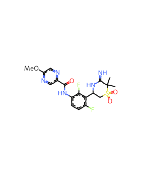 COc1cnc(C(=O)Nc2ccc(F)c(C3CS(=O)(=O)C(C)(C)C(=N)N3)c2F)cn1